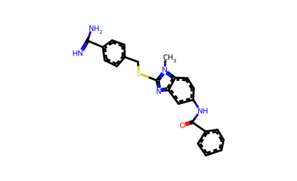 Cn1c(SCc2ccc(C(=N)N)cc2)nc2cc(NC(=O)c3ccccc3)ccc21